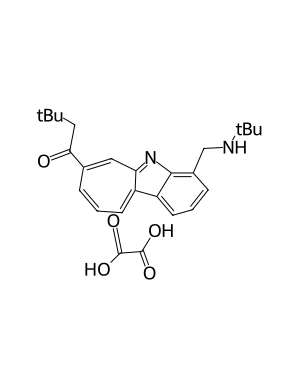 CC(C)(C)CC(=O)c1cccc2c3cccc(CNC(C)(C)C)c3nc-2c1.O=C(O)C(=O)O